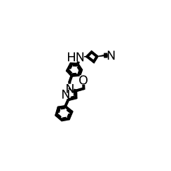 N#C[C@H]1C[C@H](Nc2ccc3c(c2)OCc2cc(-c4ccccc4)nn2C3)C1